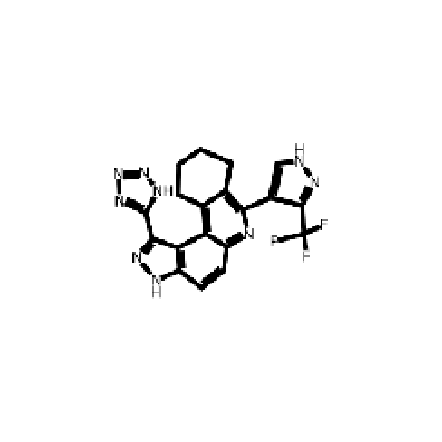 FC(F)(F)c1n[nH]cc1-c1nc2ccc3[nH]nc(-c4nnn[nH]4)c3c2c2c1CCCC2